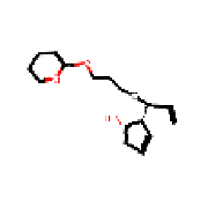 C=CC(CCCCOC1CCCCO1)[C@@H]1C=CC[C@@H]1O